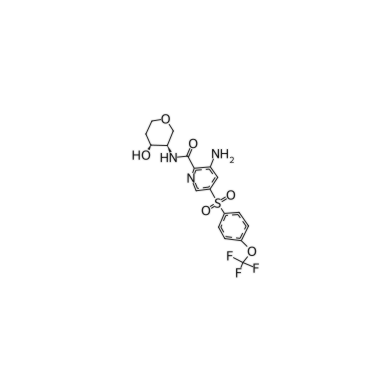 Nc1cc(S(=O)(=O)c2ccc(OC(F)(F)F)cc2)cnc1C(=O)N[C@@H]1COCC[C@@H]1O